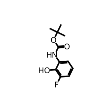 CC(C)(C)OC(=O)Nc1cccc(F)c1O